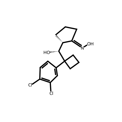 ON=C1CCC[C@H]1[C@@H](O)C1(c2ccc(Cl)c(Cl)c2)CCC1